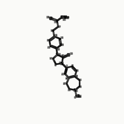 CCCCN1CCc2ccc(N3CCN(c4ccc(CCC(=O)OC)cc4)C3=O)cc2CC1